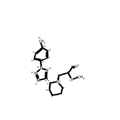 CSC(C=O)CN1CCCC[C@@H]1c1nnn(-c2ccc(C)cc2)n1